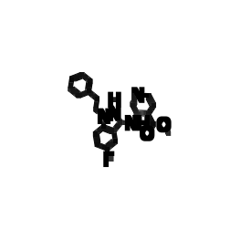 COC(=O)c1ccncc1NC1NN(CCc2ccccc2)c2ccc(F)cc21